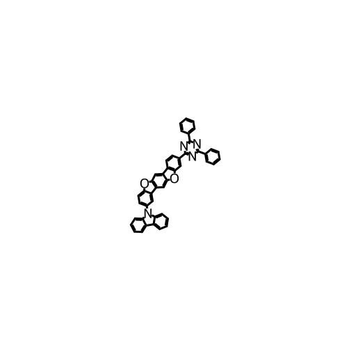 c1ccc(-c2nc(-c3ccccc3)nc(-c3ccc4c(c3)oc3cc5c(cc34)oc3ccc(-n4c6ccccc6c6ccccc64)cc35)n2)cc1